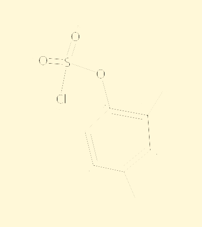 Cc1ccc(OS(=O)(=O)Cl)c(C)c1